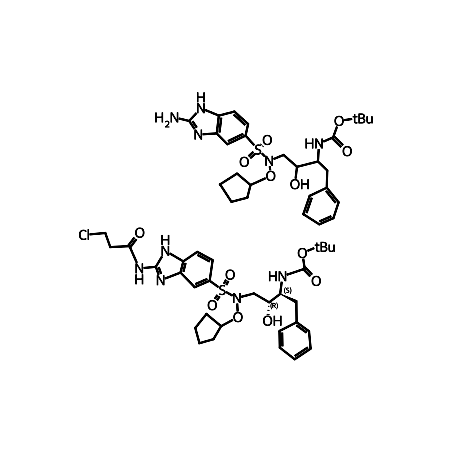 CC(C)(C)OC(=O)NC(Cc1ccccc1)C(O)CN(OC1CCCC1)S(=O)(=O)c1ccc2[nH]c(N)nc2c1.CC(C)(C)OC(=O)N[C@@H](Cc1ccccc1)[C@H](O)CN(OC1CCCC1)S(=O)(=O)c1ccc2[nH]c(NC(=O)CCCl)nc2c1